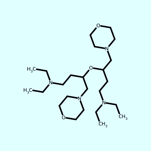 CCN(CC)CCC(CN1CCOCC1)OC(CCN(CC)CC)CN1CCOCC1